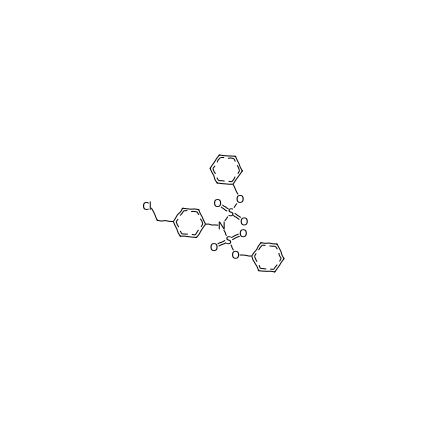 O=S(=O)(Oc1ccccc1)N(c1ccc(CCl)cc1)S(=O)(=O)Oc1ccccc1